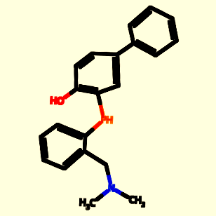 CN(C)Cc1ccccc1Pc1cc(-c2ccccc2)ccc1O